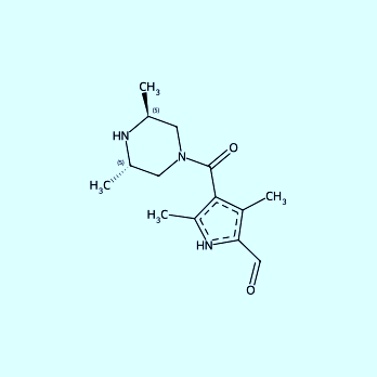 Cc1[nH]c(C=O)c(C)c1C(=O)N1C[C@H](C)N[C@@H](C)C1